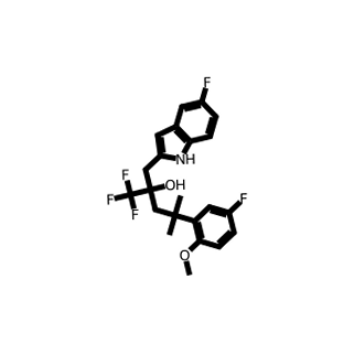 COc1ccc(F)cc1C(C)(C)CC(O)(Cc1cc2cc(F)ccc2[nH]1)C(F)(F)F